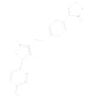 Cc1nn(-c2ccc(C#N)c(Cl)c2)c(C)c1COc1ccc(N2CCCC2=O)cc1